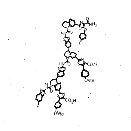 COc1ccc(-c2sc(-c3ccc4c(c3)N(C(=O)Nc3nc5cc(C6CCN(C(=O)Nc7nc8ccc(F)cc8s7)c7cc(-c8nc(C(=O)O)c(-c9ccc(OC)cc9)s8)ccc76)ccc5s3)CCC4c3ccc4nc(NC(=O)N5CCCc6ccc(-c7nc(C(N)=O)c(Oc8ccc(F)cc8)s7)cc65)sc4c3)nc2C(=O)O)cc1